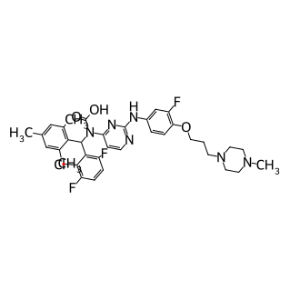 Cc1cc(C)c(C(c2c(F)ccc(F)c2Cl)N(C(=O)O)c2ccnc(Nc3ccc(OCCCN4CCN(C)CC4)c(F)c3)n2)c(C)c1